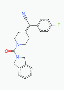 N#CC(=C1CCN(C(=O)N2Cc3ccccc3C2)CC1)c1ccc(F)cc1